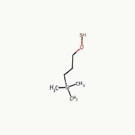 C[Si](C)(C)CCCOS